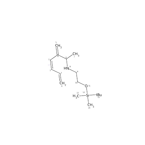 C=C/C=C\C(=C)C(C)NCCO[Si](C)(C)C(C)(C)C